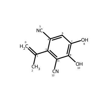 C=C(C)c1c(C#N)cc(O)c(O)c1C#N